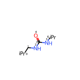 [CH2]C(C)CNC(=O)NC(C)C